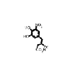 CC(=O)/C(=C/c1cc(O)c(O)c([N+](=O)[O-])c1)CC(=O)O